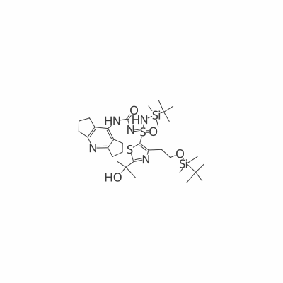 CC(C)(O)c1nc(CCO[Si](C)(C)C(C)(C)C)c(S(=O)(=NC(=O)Nc2c3c(nc4c2CCC4)CCC3)N[Si](C)(C)C(C)(C)C)s1